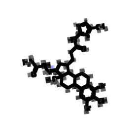 Cc1cnc(NC(=O)CC[C@@H]2C/C(=N\NC(N)=O)[C@@]3(C)CCC4c5cc(Br)c(O)c(Br)c5CCC4C23)s1